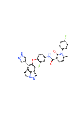 Cc1ccc(C(=O)Nc2ccc(Oc3cc4cnn5ccc(c3-c3cn[nH]c3)c45)c(F)c2)c(=O)n1-c1ccc(F)cc1